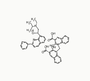 CCN(CC(O)c1cccc2ccc(-c3ccccc3)nc12)C(C)C.O=C(O)c1cc2ccccc2c(Cc2c(O)c(C(=O)O)cc3ccccc23)c1O